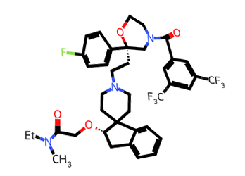 CCN(C)C(=O)CO[C@H]1Cc2ccccc2C12CCN(CC[C@@]1(c3ccc(F)cc3)CN(C(=O)c3cc(C(F)(F)F)cc(C(F)(F)F)c3)CCO1)CC2